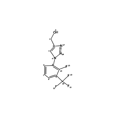 OCc1cn(-c2cccc(C(F)(F)F)c2F)nn1